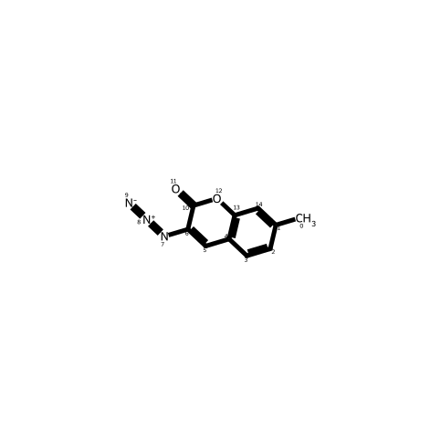 Cc1ccc2cc(N=[N+]=[N-])c(=O)oc2c1